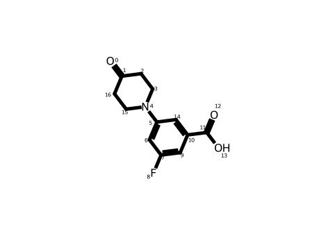 O=C1CCN(c2cc(F)cc(C(=O)O)c2)CC1